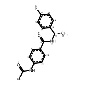 CCC(=O)Nc1ccc(C(=O)N[C@@H](C)c2ccc(F)cc2)cc1